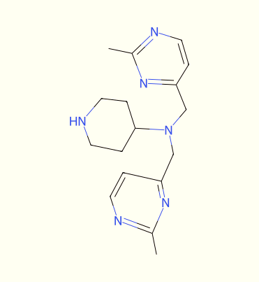 Cc1nccc(CN(Cc2ccnc(C)n2)C2CCNCC2)n1